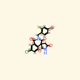 O=C1CC2(C(=O)N1)C(=O)N(Cc1ccc(Br)cc1F)C(=O)c1cc(Cl)ccc12